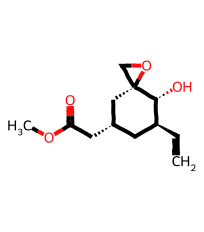 C=C[C@H]1C[C@H](CC(=O)OC)C[C@@]2(CO2)[C@@H]1O